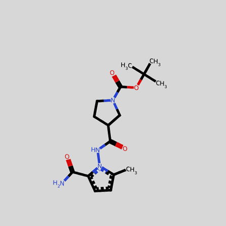 Cc1ccc(C(N)=O)n1NC(=O)C1CCN(C(=O)OC(C)(C)C)C1